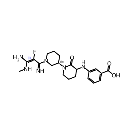 CN/C(N)=C(/F)C(=N)N1CCC[C@@H](N2CCCC(Nc3cccc(C(=O)O)c3)C2=O)C1